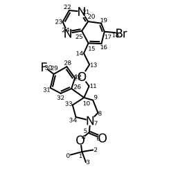 CC(C)(C)OC(=O)N1CCC(COCCc2cc(Br)cc3nccnc23)(c2ccc(F)cc2)CC1